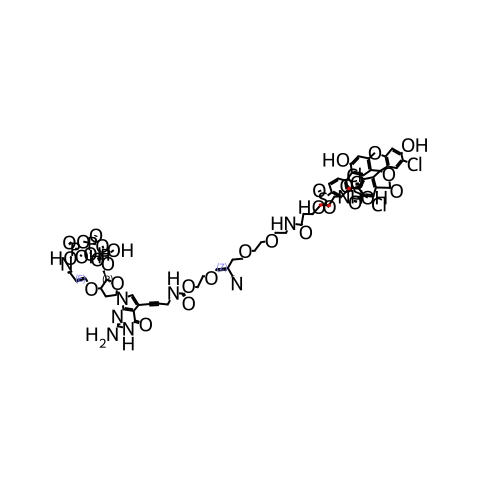 N#C/C=C/OC1CC(n2cc(C#CCNC(=O)OCCO/C=C(\C#N)CCOCCOCCNC(=O)CCCCCNC(=O)c3cc(Cl)c4c(c3Cl)C3(OC4=O)c4cc(Cl)c(O)cc4Oc4cc(O)c(-c5ccc(S(=O)(=O)O)cc5S(=O)(=O)O)cc43)c3c(=O)[nH]c(N)nc32)O[C@@H]1COP(=O)(O)OP(=O)(O)OP(=O)(O)O